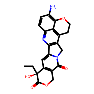 CC[C@@]1(O)C(=O)OCc2c1cc1n(c2=O)Cc2c-1nc1ccc(N)c3c1c2CCO3